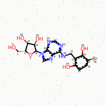 OC[C@H]1OC(n2cnc3c(NCc4c(O)ccc(Br)c4O)ncnc32)[C@H](O)[C@@H]1O